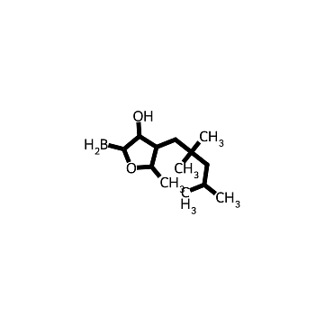 BC1OC(C)C(CC(C)(C)CC(C)C)C1O